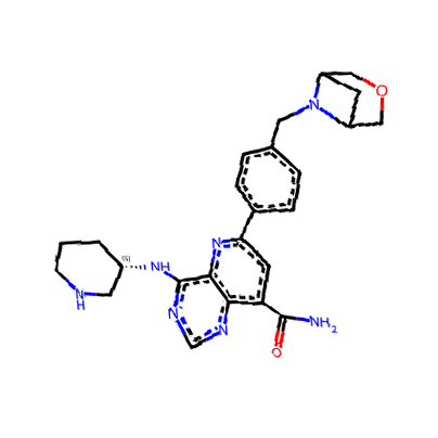 NC(=O)c1cc(-c2ccc(CN3C4COCC3C4)cc2)nc2c(N[C@H]3CCCNC3)ncnc12